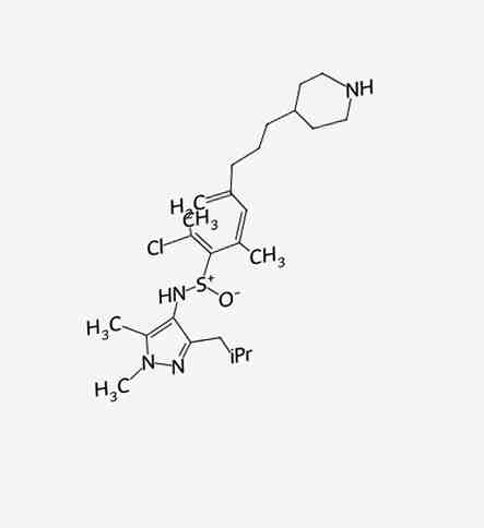 C=C(/C=C(C)\C(=C(/C)Cl)[S+]([O-])Nc1c(CC(C)C)nn(C)c1C)CCCC1CCNCC1